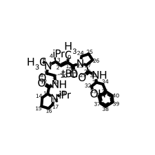 C/C(=C\[C@H](C(C)C)N(C)C(=O)[C@@H](NC(=O)C1CCCCN1C(C)C)C(C)(C)C)C(=O)N1CCC[C@H]1C(=O)NC(CO)Cc1ccccc1